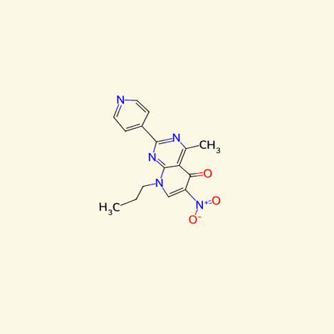 CCCn1cc([N+](=O)[O-])c(=O)c2c(C)nc(-c3ccncc3)nc21